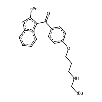 CCCc1cc2ccccn2c1C(=O)c1ccc(OCCCNCC(C)(C)C)cc1